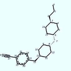 CCC[C@H]1CC[C@H](C[C@H]2CC[C@H](Cc3ccc(C#N)cc3)CC2)CC1